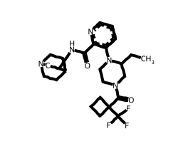 CCC1CN(C(=O)C2(C(F)(F)F)CCC2)CCN1c1cccnc1C(=O)NC1CN2CCC1CC2